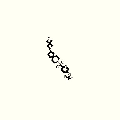 O=S(=O)(c1ccc(OC(F)(F)F)cn1)N1CCC2(CCC(N3CC4(COC4)C3)C2)CC1